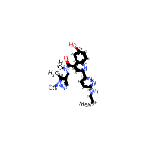 CCn1ncc(CN(C)C(=O)c2cc(-c3ccc(NCCNC)nn3)nc3ccc(O)cc23)c1C